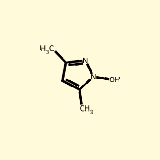 Cc1cc(C)n(O)n1